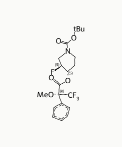 CO[C@@](C(=O)O[C@H]1CCN(C(=O)OC(C)(C)C)C[C@@H]1F)(c1ccccc1)C(F)(F)F